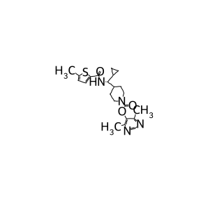 Cc1ccc(C(=O)N[C@H](C2CC2)C2CCN(C(=O)Oc3c(C)ncnc3C)CC2)s1